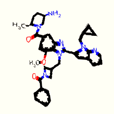 COc1cc(C(=O)N2C[C@H](N)CC[C@@H]2C)cc2nc(-c3cc4cccnc4n3CC3CC3)n(CC3CN(C(=O)c4ccccc4)C3)c12